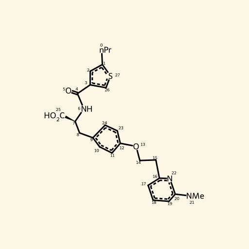 CCCc1cc(C(=O)N[C@@H](Cc2ccc(OCCc3cccc(NC)n3)cc2)C(=O)O)cs1